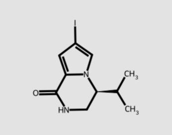 CC(C)[C@H]1CNC(=O)c2cc(I)cn21